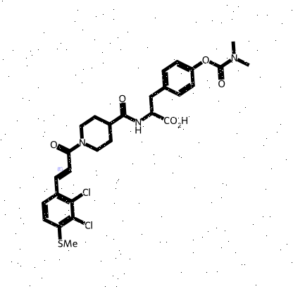 CSc1ccc(/C=C/C(=O)N2CCC(C(=O)NC(Cc3ccc(OC(=O)N(C)C)cc3)C(=O)O)CC2)c(Cl)c1Cl